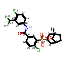 C[C@@]1(O)C2CC[C@H]1C[C@H](S(=O)(=O)c1cc(C(=O)Nc3ccc(F)c(C(F)F)c3)ccc1Cl)C2